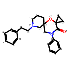 O=C1N(c2ccccc2)CC2(CCCN(CCc3ccccc3)C2)OC12CC2